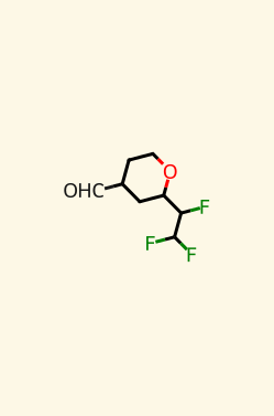 O=CC1CCOC(C(F)C(F)F)C1